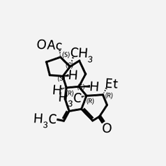 CC=C1C[C@H]2[C@@H]3CC[C@H](OC(C)=O)[C@@]3(C)CC[C@@H]2[C@]2(C)C1=CC(=O)C[C@H]2CC